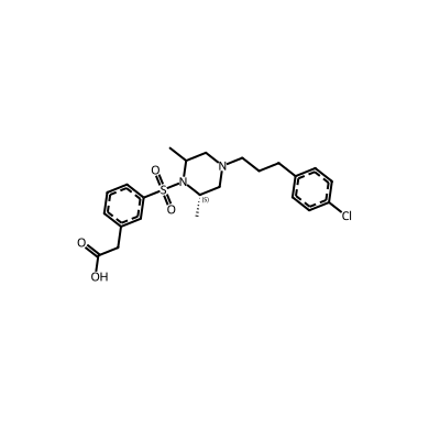 CC1CN(CCCc2ccc(Cl)cc2)C[C@H](C)N1S(=O)(=O)c1cccc(CC(=O)O)c1